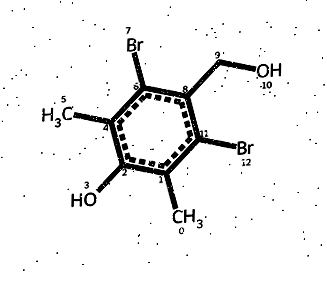 Cc1c(O)c(C)c(Br)c(CO)c1Br